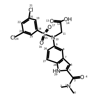 CN(C)C(=O)c1cc2cc(N(CC(=O)O)S(=O)(=O)c3cc(Cl)cc(Cl)c3)ccc2[nH]1